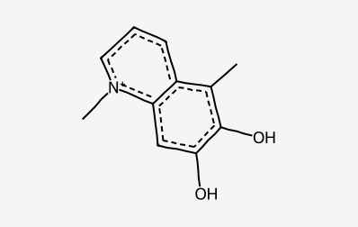 Cc1c(O)c(O)cc2c1ccc[n+]2C